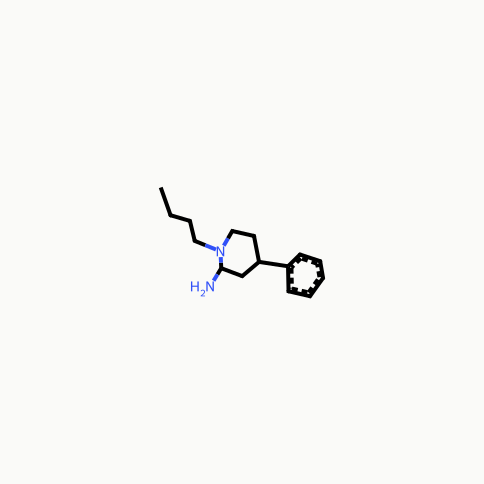 CCCCN1CCC(c2ccccc2)CC1N